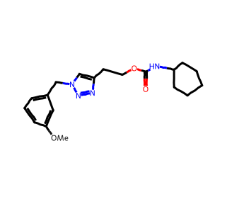 COc1cccc(Cn2cc(CCOC(=O)NC3CCCCC3)nn2)c1